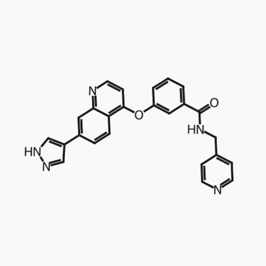 O=C(NCc1ccncc1)c1cccc(Oc2ccnc3cc(-c4cn[nH]c4)ccc23)c1